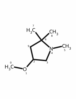 COC1CN(C)C(C)(C)C1